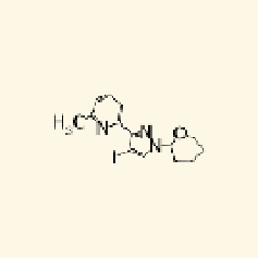 Cc1cccc(-c2nn(C3CCCCO3)cc2I)n1